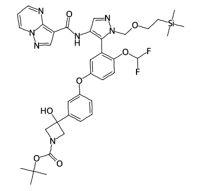 CC(C)(C)OC(=O)N1CC(O)(c2cccc(Oc3ccc(OC(F)F)c(-c4c(NC(=O)c5cnn6cccnc56)cnn4COCC[Si](C)(C)C)c3)c2)C1